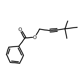 CC(C)(C)C#CCOC(=O)c1ccccc1